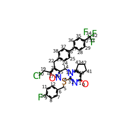 O=c1nc(SCc2ccc(F)cc2)n(Cc2noc(CCl)c2Cc2ccc(-c3ccc(C(F)(F)F)cc3)cc2)c2c1CCC2